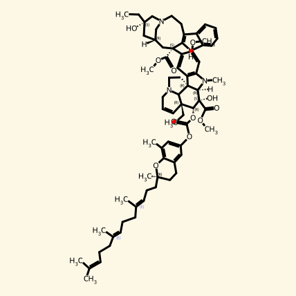 CC[C@]1(O)C[C@@H]2CN(CCc3c([nH]c4ccccc34)[C@@](C(=O)OC)(c3cc4c(cc3OC)N(C)[C@H]3[C@@](O)(C(=O)OC)[C@H](OC(=O)Oc5cc(C)c6c(c5)CC[C@@](C)(CC/C=C(\C)CC/C=C(\C)CCC=C(C)C)O6)[C@]5(CC)C=CCN6CC[C@]43C65)C2)C1